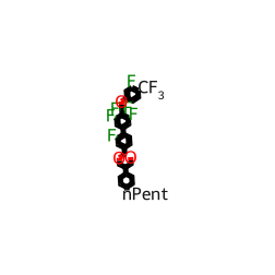 CCCCCC1CCC(C2COC(c3ccc(-c4cc(F)c(C(F)(F)Oc5ccc(C(F)(F)F)c(F)c5)c(F)c4)c(F)c3)OC2)CC1